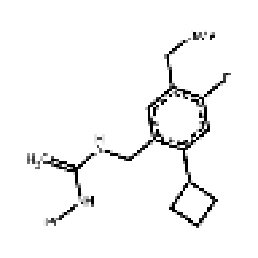 C=C(NCc1cc(COC)c(F)cc1C1CCC1)NC(C)C